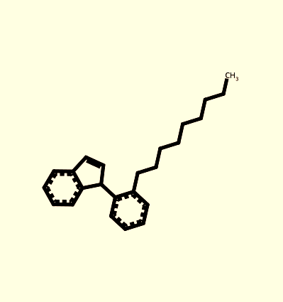 CCCCCCCCCc1ccccc1[C]1C=Cc2ccccc21